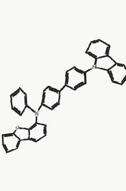 c1ccc(N(c2ccc(-c3ccc(-n4c5ccccc5c5ccccc54)cc3)cc2)c2cccc3c2oc2ccccc23)cc1